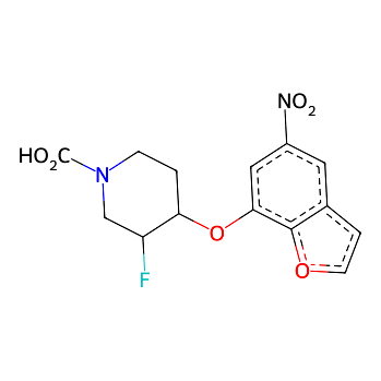 O=C(O)N1CCC(Oc2cc([N+](=O)[O-])cc3ccoc23)C(F)C1